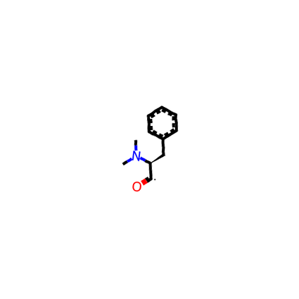 CN(C)[C@H]([C]=O)Cc1ccccc1